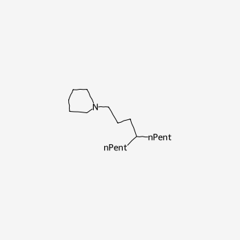 CCCCCC(CCCCC)CCCN1CCCCC1